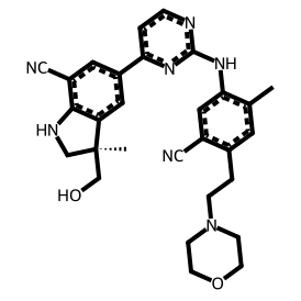 Cc1cc(CCN2CCOCC2)c(C#N)cc1Nc1nccc(-c2cc(C#N)c3c(c2)[C@@](C)(CO)CN3)n1